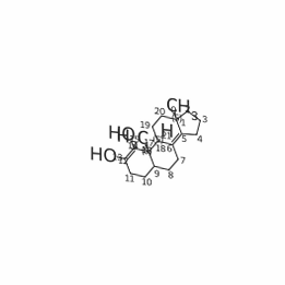 C[C@@]12CCCC1=C1CCC3CCC(O)=C(O)[C@]3(C)[C@H]1CC2